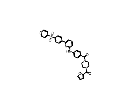 O=C(c1ccc(Nc2cccc(-c3ccc(S(=O)(=O)c4ccncc4)cc3)n2)cc1)N1CCN(C(=O)c2ccco2)CC1